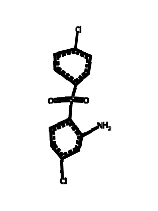 Nc1cc(Cl)ccc1S(=O)(=O)c1ccc(Cl)cc1